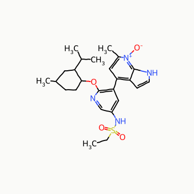 CCS(=O)(=O)Nc1cnc(OC2CCC(C)CC2C(C)C)c(-c2cc(C)[n+]([O-])c3[nH]ccc23)c1